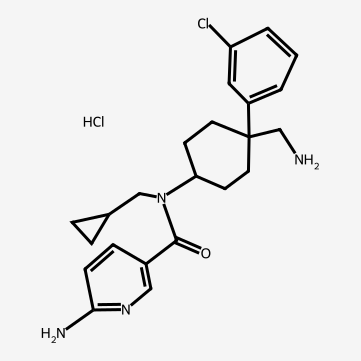 Cl.NCC1(c2cccc(Cl)c2)CCC(N(CC2CC2)C(=O)c2ccc(N)nc2)CC1